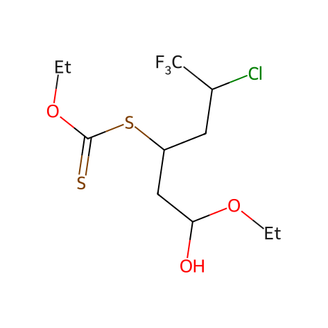 CCOC(=S)SC(CC(O)OCC)CC(Cl)C(F)(F)F